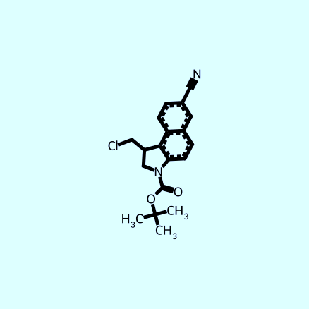 CC(C)(C)OC(=O)N1CC(CCl)c2c1ccc1cc(C#N)ccc21